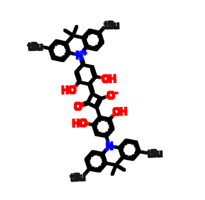 CC(C)(C)c1ccc2c(c1)C(C)(C)c1cc(C(C)(C)C)ccc1N2c1cc(O)c(C2=C([O-])C(=C3C(O)=CC(=[N+]4c5ccc(C(C)(C)C)cc5C(C)(C)c5cc(C(C)(C)C)ccc54)C=C3O)C2=O)c(O)c1